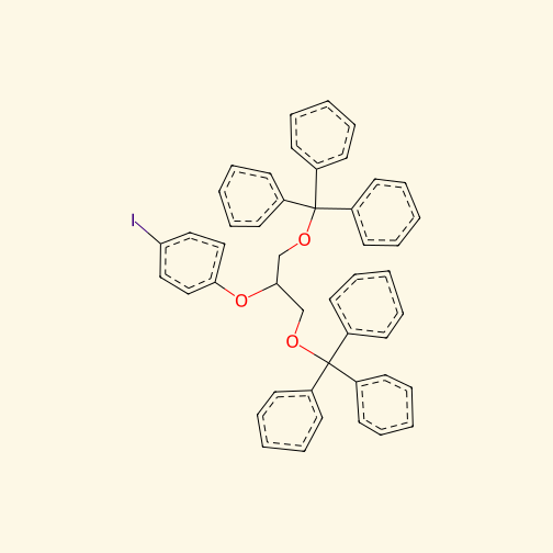 Ic1ccc(OC(COC(c2ccccc2)(c2ccccc2)c2ccccc2)COC(c2ccccc2)(c2ccccc2)c2ccccc2)cc1